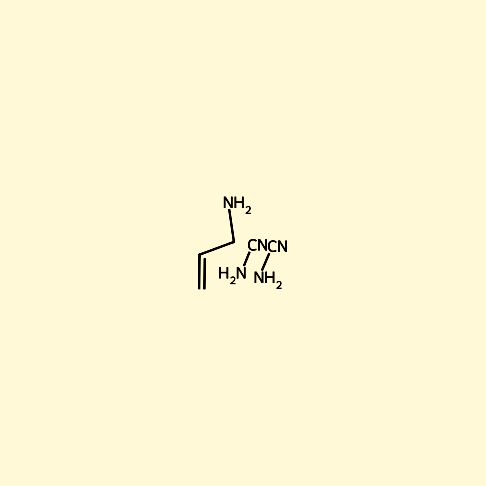 C=CCN.N#CN.N#CN